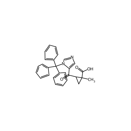 CC1(C(=O)O)CC1C(=O)c1cncn1C(c1ccccc1)(c1ccccc1)c1ccccc1